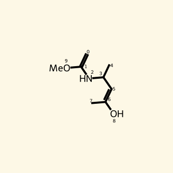 C=C(NC(C)/C=C(\C)O)OC